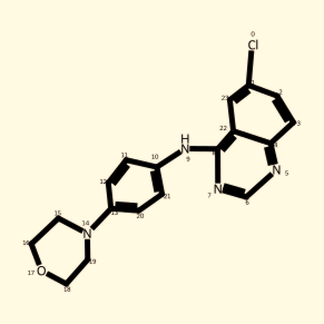 Clc1ccc2ncnc(Nc3ccc(N4CCOCC4)cc3)c2c1